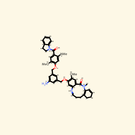 CNc1cc(OCc2cc(N)cc(COc3cc4c(cc3OC)C(=O)N(C)C3=C(CCC=C3)CC/C=N\4)c2)c(OC)cc1C(=O)N1CCc2ccccc21